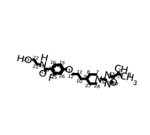 CC(C)c1nc(N2CCC(CCCOc3ccc(C(=O)NCCO)c(F)c3)CC2)no1